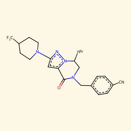 CCCC1CN(Cc2ccc(C#N)cc2)C(=O)c2cc(N3CCC(C(F)(F)F)CC3)nn21